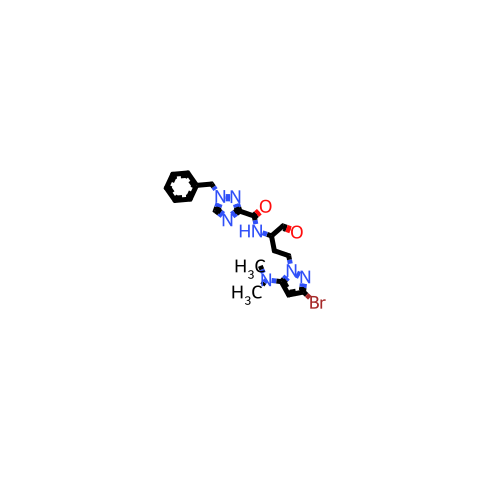 CN(C)c1cc(Br)nn1CCC(C=O)NC(=O)c1ncn(Cc2ccccc2)n1